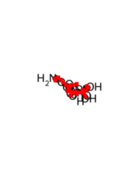 CCCCC(=O)N(OCCCOCc1ccc(N)cc1)C(CC(OC(C)=O)c1nc(C(=O)NC(Cc2ccc(O)cc2)CC(C)C(=O)O)cs1)C(C)C